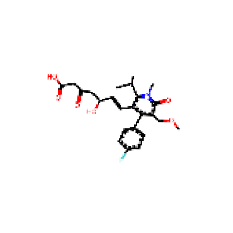 COCc1c(-c2ccc(F)cc2)c(C=CC(O)CC(=O)CC(=O)O)c(C(C)C)n(C)c1=O